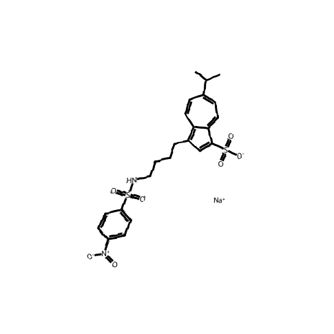 CC(C)c1ccc2c(CCCCNS(=O)(=O)c3ccc([N+](=O)[O-])cc3)cc(S(=O)(=O)[O-])c-2cc1.[Na+]